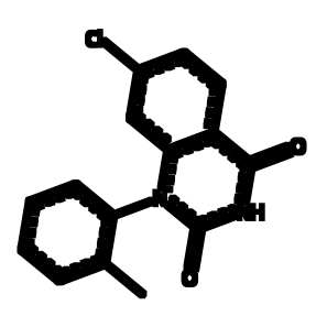 Cc1ccccc1-n1c(=O)[nH]c(=O)c2ccc(Cl)cc21